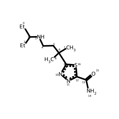 CCC(CC)NCCC(C)(C)c1nnc(C(N)=O)s1